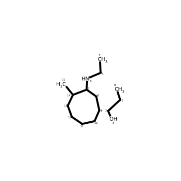 CCCO.CCNC1CCCCCCC1C